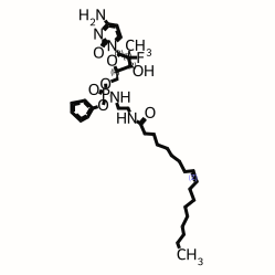 CCCCCCCC/C=C\CCCCCCCC(=O)NCCNP(=O)(OC[C@H]1O[C@@H](n2ccc(N)nc2=O)[C@](C)(F)[C@@H]1O)Oc1ccccc1